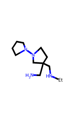 CCNCC1(CN)CCN(N2CCCC2)C1